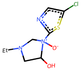 CCN1CC(O)[N+]([O-])(c2ncc(Cl)s2)C1